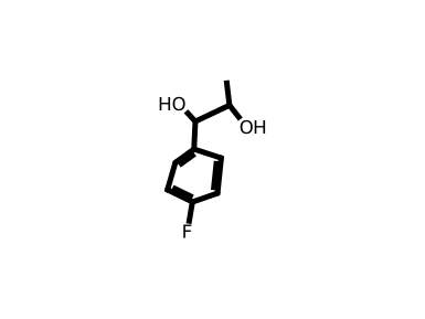 CC(O)C(O)c1ccc(F)cc1